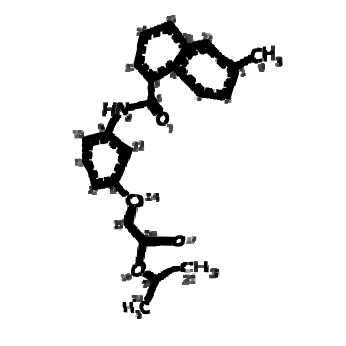 Cc1ccc2c(C(=O)Nc3cccc(OCC(=O)OC(C)C)c3)cccc2c1